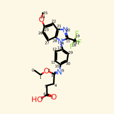 CCOC(CCC(=O)O)=Nc1ccc(-n2c(C(F)(F)F)nc3cc(OC)ccc32)cc1